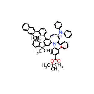 B/C=C1/C=C(N(c2ccccc2)c2ccccc2)\C=C/c2c(cc3c(c2-c2cccc(-c4cc5ccccc5cc4C)c2C)-c2ccccc2C3(C)C)N1c1ccc(C(=O)OC(C)(C)C)cc1-c1ccccc1